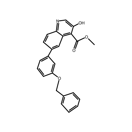 COC(=O)c1c(O)cnc2ccc(-c3cccc(OCc4ccccc4)c3)cc12